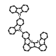 c1ccc2c(c1)c1ccccc1n2-c1ccc2c(c1)c1ccccc1n2-c1ccc2c(c1)c1cccc3c4c5cccc6c7ccccc7n(c65)c4n2c13